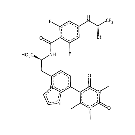 CC[C@@H](Nc1cc(F)c(C(=O)N[C@@H](Cc2ccc(-c3c(C)n(C)c(=O)n(C)c3=O)c3nccn23)C(=O)O)c(F)c1)C(F)(F)F